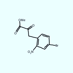 COC(=O)C(=O)Cc1ccc(Br)cc1[N+](=O)[O-]